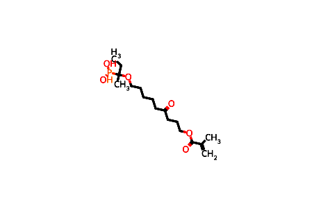 C=C(C)C(=O)OCCCC(=O)CCCCCOC(C)(CC)[PH](=O)O